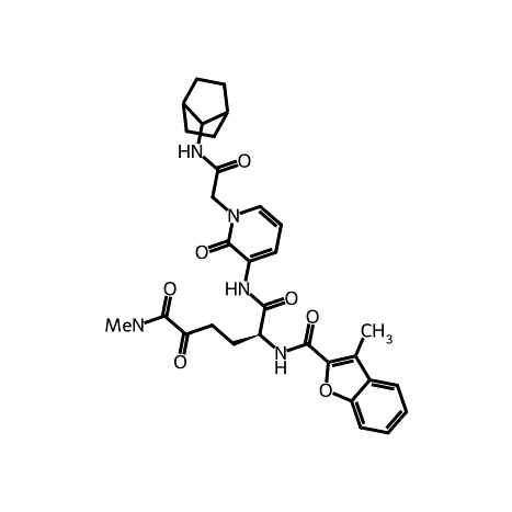 CNC(=O)C(=O)CC[C@H](NC(=O)c1oc2ccccc2c1C)C(=O)Nc1cccn(CC(=O)NC2C3CCC2CC3)c1=O